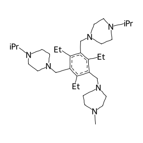 CCc1c(CN2CCN(C)CC2)c(CC)c(CN2CCN(C(C)C)CC2)c(CC)c1CN1CCN(C(C)C)CC1